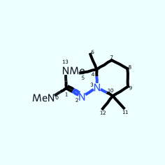 CNC(=NN1C(C)(C)CCCC1(C)C)NC